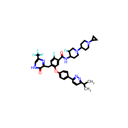 CC(C)c1ccc(-c2ccc(Oc3cc(C(=O)NC4CCN(C5CCN(C6CC6)CC5)CC4F)c(F)cc3Cc3nc(C(F)(F)F)c[nH]c3=O)cc2)nn1